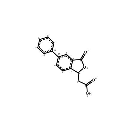 O=C(O)CC1OC(=O)c2cc(-c3ccccc3)ccc21